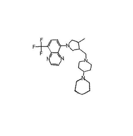 CC1CN(c2ccc(C(F)(F)F)c3nccnc23)CC1CN1CCC(N2CCCCC2)CC1